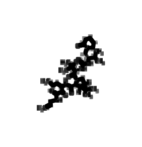 C=CCNC(=O)C(=O)C(CCC)NC(=O)[C@@H]1[C@@H]2[C@H](CN1C(=O)[C@@H](NC(=O)N[C@H](CN1CCCCC1=O)C(C)C)C(C)(C)C)C2(C)C